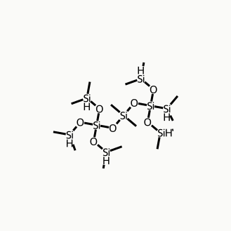 C[SiH](C)O[Si](O[SiH](C)C)(O[SiH](C)C)O[Si](C)(C)O[Si](O[SiH](C)C)(O[SiH](C)C)[SiH](C)C